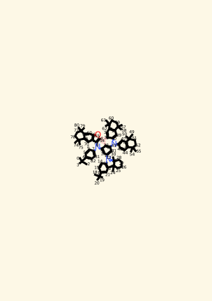 CC(C)(C)c1ccc(N2c3cc(N4c5ccc(C(C)(C)C)cc5C5(C)CCCCC45C)cc4c3B(c3cc5c(cc3N4c3ccc4c(c3)C(C)(C)CCC4(C)C)C(C)(C)CCC5(C)C)c3oc4cc5c(cc4c32)C(C)(C)CCC5(C)C)cc1